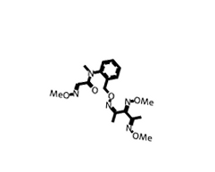 CON=CC(=O)N(C)c1ccccc1CON=C(C)C(=NOC)C(C)=NOC